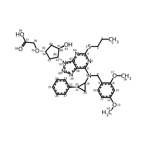 CCCSc1nc(N(Cc2ccc(OC)cc2OC)C2C[C@H]2c2ccccc2)c2nnn([C@@H]3C[C@H](OCC(=O)O)C[C@H]3O)c2n1